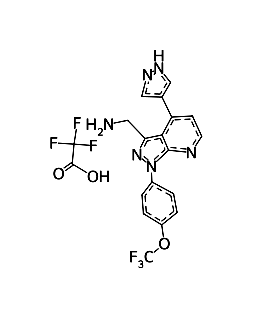 NCc1nn(-c2ccc(OC(F)(F)F)cc2)c2nccc(-c3cn[nH]c3)c12.O=C(O)C(F)(F)F